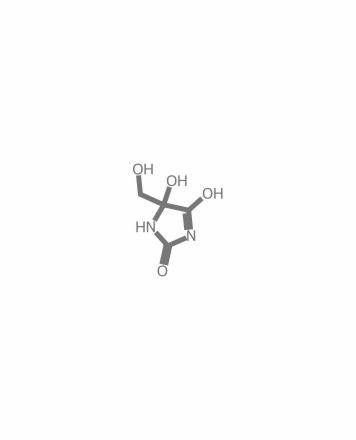 O=C1N=C(O)C(O)(CO)N1